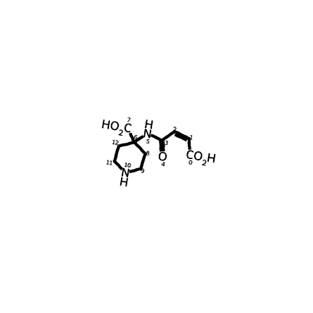 O=C(O)/C=C\C(=O)NC1(C(=O)O)CCNCC1